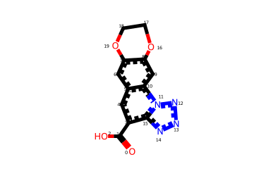 O=C(O)c1cc2cc3c(cc2n2nnnc12)OCCO3